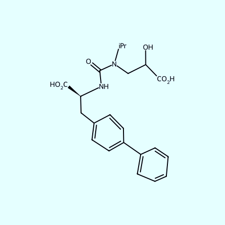 CC(C)N(CC(O)C(=O)O)C(=O)N[C@@H](Cc1ccc(-c2ccccc2)cc1)C(=O)O